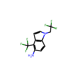 Nc1ccc2c(ccn2CC(F)(F)F)c1C(F)(F)F